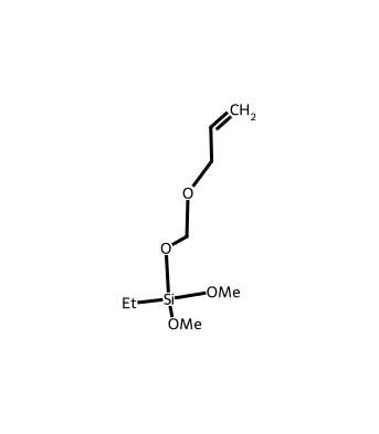 C=CCOCO[Si](CC)(OC)OC